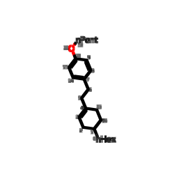 CCCCCCC1CC=C(CCc2ccc(OCCCCC)cc2)CC1